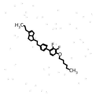 CCCCCCOc1ccc(-c2ccc(CCC3CCC4C(CCC)=CCC34)cc2)c(F)c1F